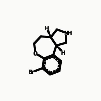 Brc1cccc2c1OCC[C@@H]1CNC[C@H]21